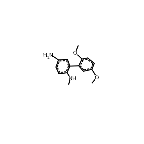 CNc1ccc(N)cc1-c1cc(OC)ccc1OC